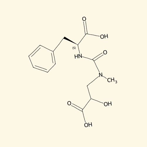 CN(CC(O)C(=O)O)C(=O)N[C@@H](Cc1ccccc1)C(=O)O